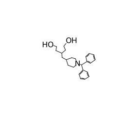 OCCC(CCO)CC1CCN(C(c2ccccc2)c2ccccc2)CC1